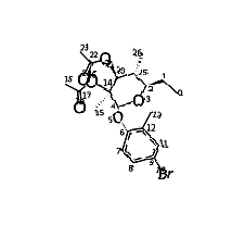 CC[C@H]1O[C@H](Oc2ccc(Br)cc2C)[C@@](C)(OC(C)=O)[C@@H](OC(C)=O)[C@@H]1C